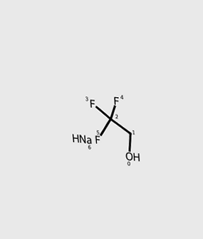 OCC(F)(F)F.[NaH]